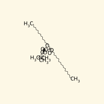 CCCCCCCCCCCCCCCCCC(=O)O[C@H](COCCCCCCCCCCCCCC)COP(=O)([O-])OCC[N+](C)(C)C